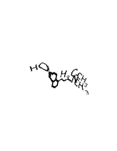 CC(C)N(C)CCCCc1cccc2cc(O)ccc12